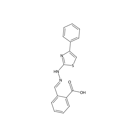 O=C(O)c1ccccc1C=NNc1nc(-c2ccccc2)cs1